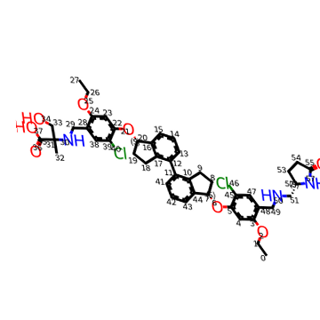 CCOc1cc(O[C@H]2CCc3c(-c4cccc5c4CC[C@@H]5Oc4cc(OCC)c(CNC(C)(CO)C(=O)O)cc4Cl)cccc32)c(Cl)cc1CNC[C@@H]1CCC(=O)N1